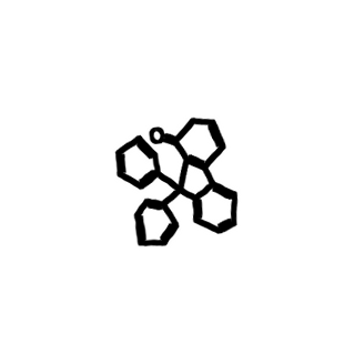 O=C1CC=CC2=C1C(c1ccccc1)(c1ccccc1)c1ccccc12